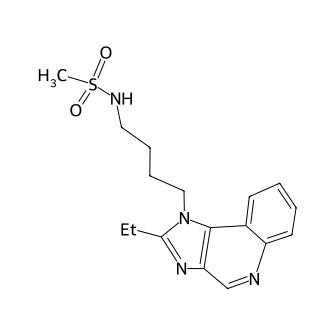 CCc1nc2cnc3ccccc3c2n1CCCCNS(C)(=O)=O